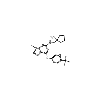 Cn1ncc2c(Nc3ccc(C(F)(F)F)nc3)nc(NCC3(N)CCCC3)nc21